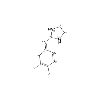 CC1=C(C)CC(=NC2NCCN2)C=C1